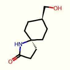 O=C1CC[C@]2(CC[C@H](CO)CC2)N1